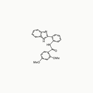 COc1ccc(C(=O)Nc2ccccc2-c2nc3ccccc3[nH]2)c(OC)c1